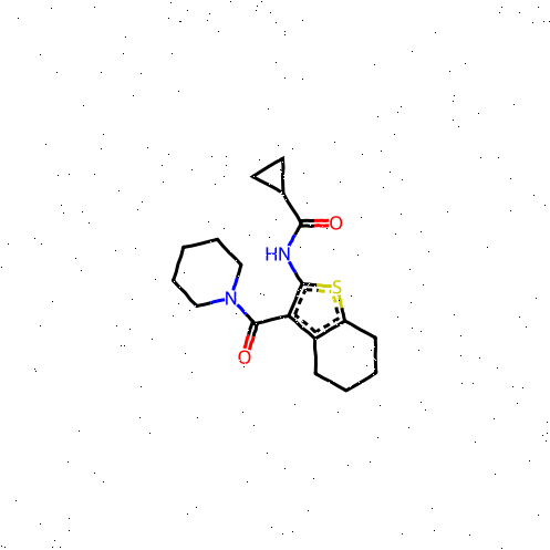 O=C(Nc1sc2c(c1C(=O)N1CCCCC1)CCCC2)C1CC1